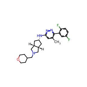 Cc1cc(N[C@@H]2C[C@@H]3CN(CC4CCOCC4)C[C@@H]3C2)nnc1-c1cc(F)ccc1F